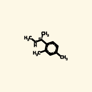 CN[C@H](C)c1ccc(C)cc1C